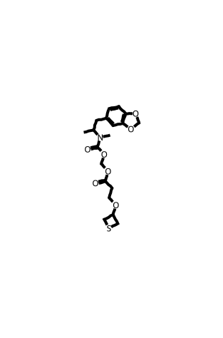 CC(Cc1ccc2c(c1)OCO2)N(C)C(=O)OCOC(=O)CCOC1CSC1